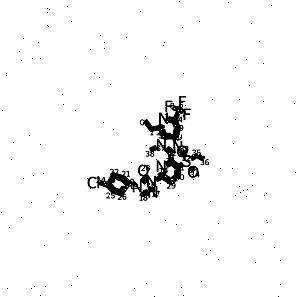 CCc1nc(C(F)(F)F)cc2nc(-c3nc(-n4ncn(-c5ccc(Cl)cc5)c4=O)ccc3S(=O)(=O)CC)n(C)c12